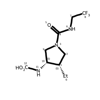 CC[C@H]1CN(C(=O)NCC(F)(F)F)C[C@H]1NC(=O)O